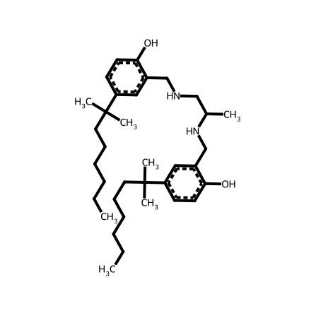 CCCCCCC(C)(C)c1ccc(O)c(CNCC(C)NCc2cc(C(C)(C)CCCCCC)ccc2O)c1